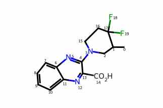 CC1CN(c2nc3ccccc3nc2C(=O)O)CCC1(F)F